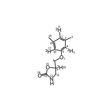 [2H]c1c(C)c([2H])c(OCC2([2H])CNC(=O)O2)c([2H])c1C